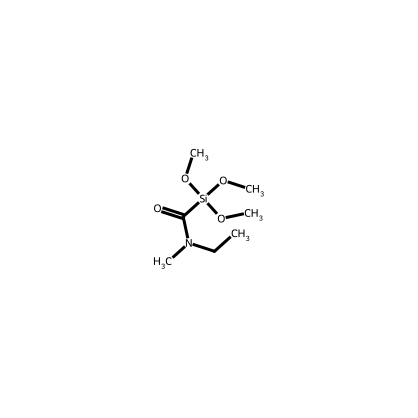 CCN(C)C(=O)[Si](OC)(OC)OC